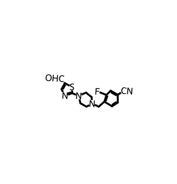 N#Cc1ccc(CN2CCN(c3ncc(C=O)s3)CC2)c(F)c1